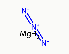 [MgH2].[N-]=[N+]=[N-]